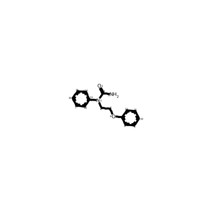 NC(=O)N(CCOc1cc[c]cc1)c1ccccc1